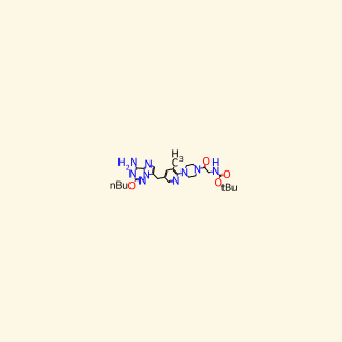 CCCCOc1nc(N)c2ncc(Cc3cnc(N4CCN(C(=O)CNC(=O)OC(C)(C)C)CC4)c(C)c3)n2n1